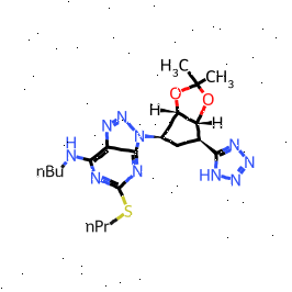 CCCCNc1nc(SCCC)nc2c1nnn2[C@@H]1C[C@H](c2nnn[nH]2)[C@H]2OC(C)(C)O[C@H]21